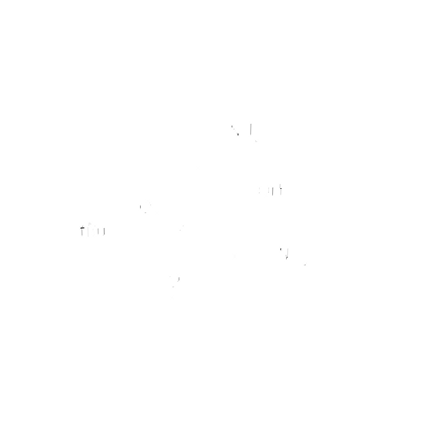 CC(C)(C)OC(=O)C(O)(CN)CN